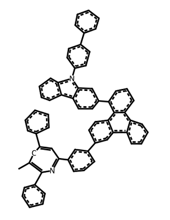 CC1=C(c2ccccc2)N=C(c2cccc(-c3ccc4c(c3)c3ccccc3c3cccc(-c5ccc6c7ccccc7n(-c7ccc(-c8ccccc8)cc7)c6c5)c34)c2)C=C(c2ccccc2)C1